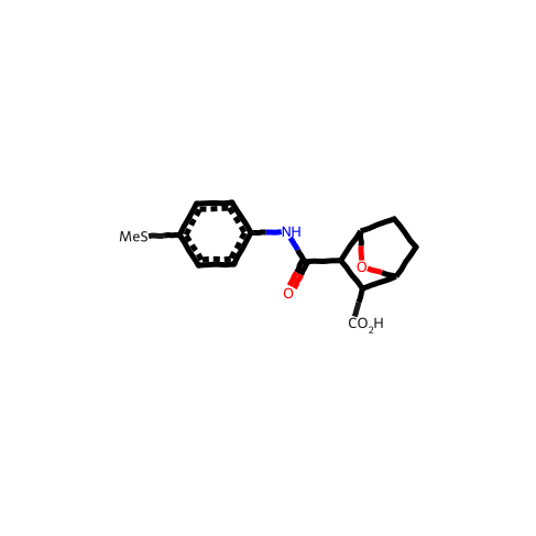 CSc1ccc(NC(=O)C2C3CCC(O3)C2C(=O)O)cc1